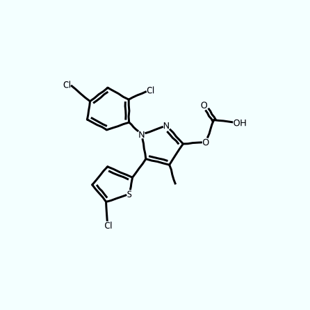 Cc1c(OC(=O)O)nn(-c2ccc(Cl)cc2Cl)c1-c1ccc(Cl)s1